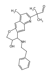 Cc1cc(C(C)(C)C=O)nc2cc3c(cc12)OCC(O)C3NCCc1ccccc1